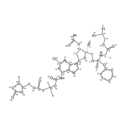 C#C[C@]1(COP(=O)(N[C@@H](C)C(=O)OCC(CC)CC)Oc2ccccc2)O[C@@H](n2cnc3c(NC(=O)OC(C)(C)CC(=O)OCc4oc(=O)oc4C)nc(Cl)nc32)C[C@@H]1OC(=O)C(C)C